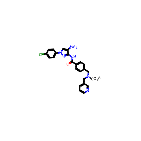 Nc1cn(-c2ccc(Cl)cc2)nc1NC(=O)c1ccc(CN(Cc2cccnc2)C(=O)O)cc1